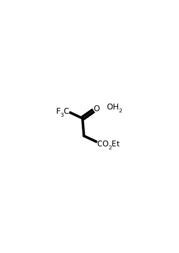 CCOC(=O)CC(=O)C(F)(F)F.O